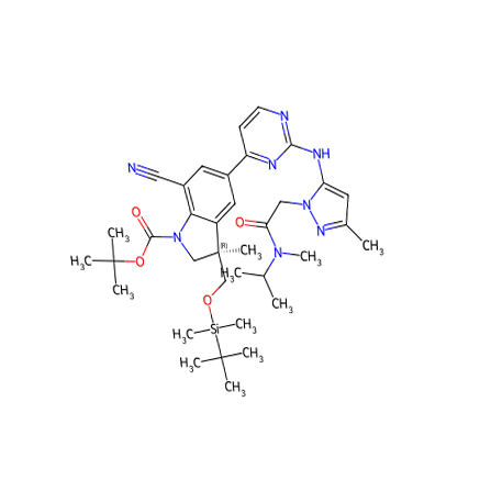 Cc1cc(Nc2nccc(-c3cc(C#N)c4c(c3)[C@@](C)(CO[Si](C)(C)C(C)(C)C)CN4C(=O)OC(C)(C)C)n2)n(CC(=O)N(C)C(C)C)n1